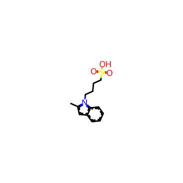 Cc1cc2ccccc2n1CCCCS(=O)(=O)O